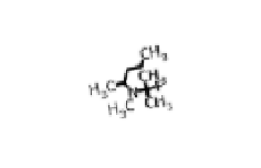 CCCC(C)N(C)C(C)(C)F